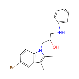 Cc1c(C)n(CC(O)CNc2ccccc2)c2ccc(Br)cc12